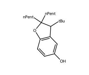 CCCCCC1(CCCCC)Oc2ccc(O)cc2C1C(C)(C)C